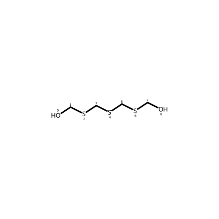 OCSCSCSCO